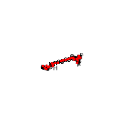 Cc1c(COc2ccc(CNCCOCCOCCOCCOCCC(=O)N3CCN(C(c4ccc(F)cc4)c4ccc(F)cc4)CC3)cn2)cccc1-c1ccccc1